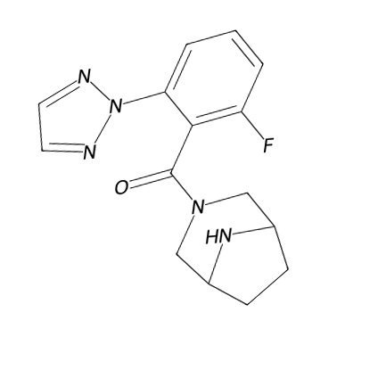 O=C(c1c(F)cccc1-n1nccn1)N1CC2CCC(C1)N2